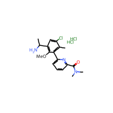 COc1c(C(C)N)cc(Cl)c(C)c1-c1cccc(C(=O)N(C)C)n1.Cl.Cl